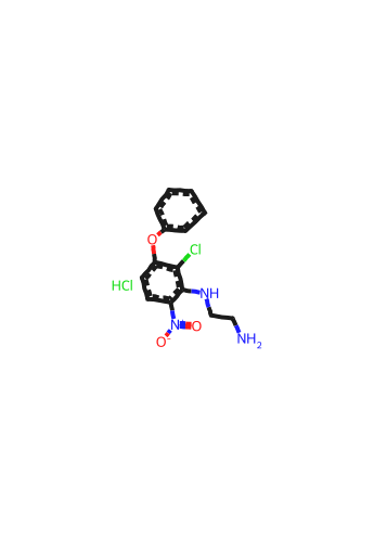 Cl.NCCNc1c([N+](=O)[O-])ccc(Oc2ccccc2)c1Cl